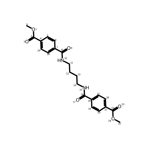 COC(=O)c1ccc(C(=O)NCCCCNC(=O)c2ccc(C(=O)OC)cc2)cc1